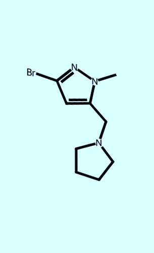 Cn1nc(Br)cc1CN1CCCC1